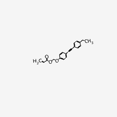 C=CC(=O)OCOc1ccc(C#Cc2ccc(CC)cc2)cc1